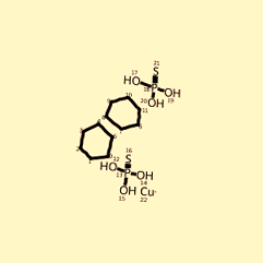 C1CCCCC1.C1CCCCC1.OP(O)(O)=S.OP(O)(O)=S.[Cu]